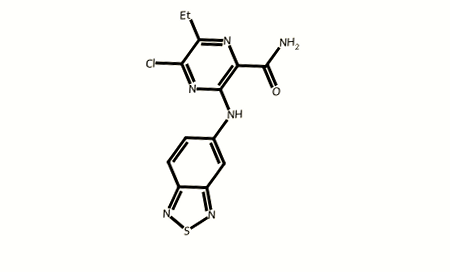 CCc1nc(C(N)=O)c(Nc2ccc3nsnc3c2)nc1Cl